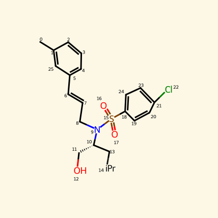 Cc1cccc(/C=C/CN([C@@H](CO)CC(C)C)S(=O)(=O)c2ccc(Cl)cc2)c1